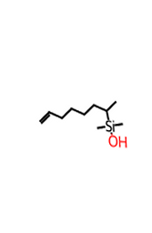 C=CCCCCC(C)[Si](C)(C)O